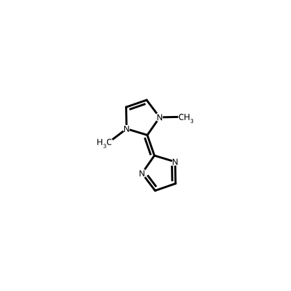 CN1C=CN(C)C1=C1N=CC=N1